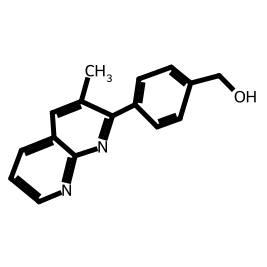 Cc1cc2cccnc2nc1-c1ccc(CO)cc1